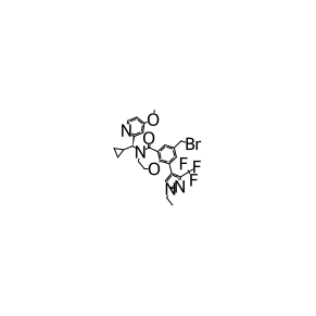 CCn1cc(-c2cc(CBr)cc3c2OCCN([C@H](c2cc(OC)ccn2)C2CC2)C3=O)c(C(F)(F)F)n1